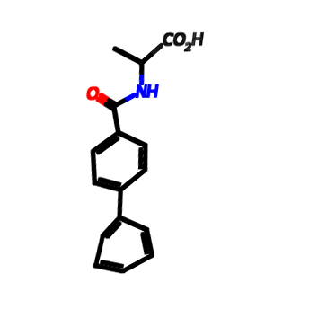 CC(NC(=O)c1ccc(-c2ccccc2)cc1)C(=O)O